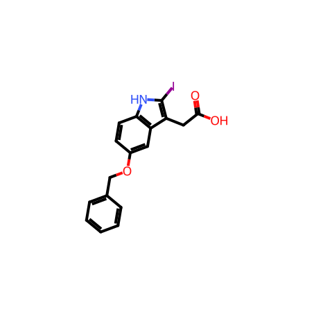 O=C(O)Cc1c(I)[nH]c2ccc(OCc3ccccc3)cc12